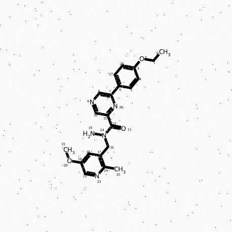 CCOc1ccc(-c2cncc(C(=O)N(N)Cc3cc(OC)cnc3C)n2)cc1